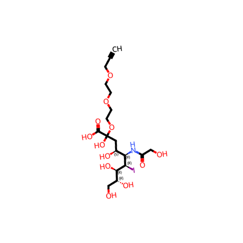 C#CCOCCOCCOC(O)(C[C@H](O)[C@@H](NC(=O)CO)[C@@H](I)[C@H](O)[C@H](O)CO)C(=O)O